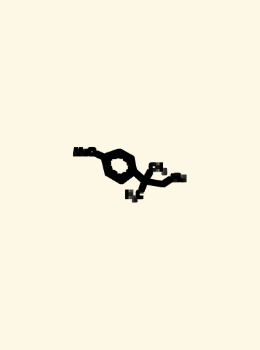 [CH2]Oc1ccc(C(C)(C)CC(C)(C)C)cc1